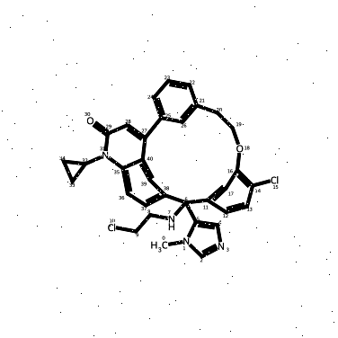 Cn1cncc1C1(NCCCl)c2ccc(Cl)c(c2)OCCc2cccc(c2)-c2cc(=O)n(C3CC3)c3ccc1cc23